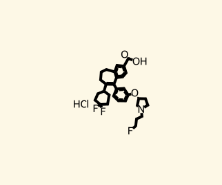 Cl.O=C(O)c1ccc2c(c1)CCCC(C1CCC(F)(F)CC1)=C2c1cccc(O[C@@H]2CCN(CCCF)C2)c1